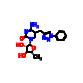 C[C@H]1O[C@@H](n2cc(Cc3cn(-c4ccccc4)nn3)c(N)nc2=O)[C@@H](O)C1O